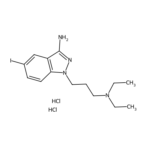 CCN(CC)CCCn1nc(N)c2cc(I)ccc21.Cl.Cl